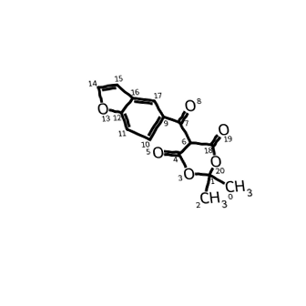 CC1(C)OC(=O)C(C(=O)c2ccc3occc3c2)C(=O)O1